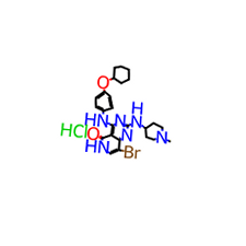 CN1CCC(Nc2nc(Nc3ccc(OC4CCCCC4)cc3)c3c(=O)[nH]cc(Br)c3n2)CC1.Cl